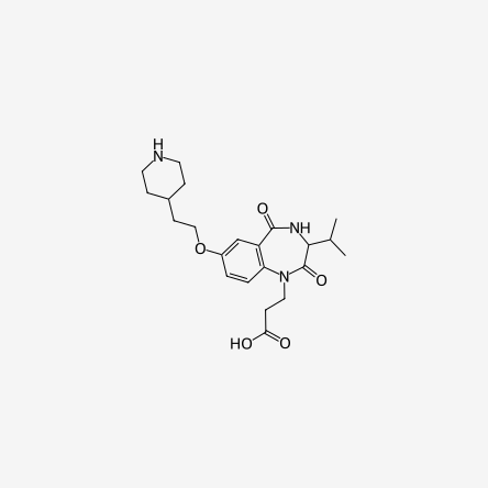 CC(C)C1NC(=O)c2cc(OCCC3CCNCC3)ccc2N(CCC(=O)O)C1=O